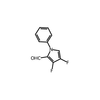 O=Cc1c(F)c(F)cn1-c1ccccc1